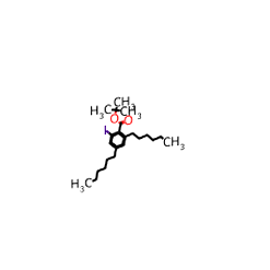 CCCCCCc1cc(I)c(C(=O)OC(C)(C)C)c(CCCCCC)c1